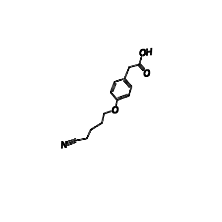 N#CCCCCOc1ccc(CC(=O)O)cc1